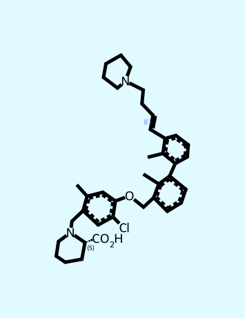 Cc1cc(OCc2cccc(-c3cccc(/C=C/CCN4CCCCC4)c3C)c2C)c(Cl)cc1CN1CCCC[C@H]1C(=O)O